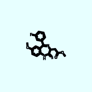 COC(=O)CC1N=C(c2cccc(F)c2)c2cc(OC)ccc2NC1=S